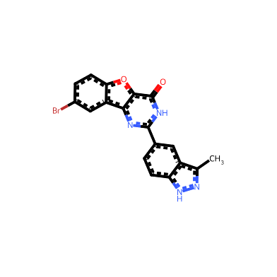 Cc1n[nH]c2ccc(-c3nc4c(oc5ccc(Br)cc54)c(=O)[nH]3)cc12